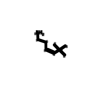 CC(C)(C)/C=C\CCN